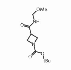 COCNC(=O)C1CN(C(=O)OC(C)(C)C)C1